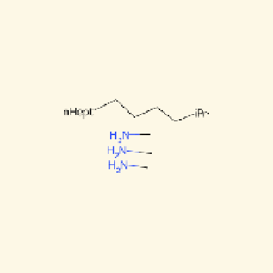 CCCCCCCCCCC[C](C)C.CN.CN.CN